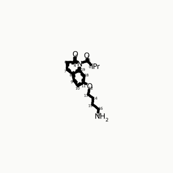 CC(C)C(=O)n1c(=O)ccc2ccc(OCCCCN)cc21